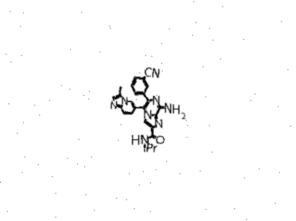 Cc1cnc2ccc(-c3c(-c4cccc(C#N)c4)nc(N)c4nc(C(=O)NC(C)C)cn34)cn12